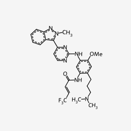 COc1cc(CCCN(C)C)c(NC(=O)/C=C/C(F)(F)F)cc1Nc1nccc(-c2c3ccccc3nn2C)n1